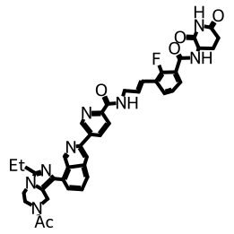 CCc1nc(-c2cccc3cc(-c4ccc(C(=O)NC/C=C/c5cccc(C(=O)NC6CCC(=O)NC6=O)c5F)nc4)ncc23)c2n1CCN(C(C)=O)C2